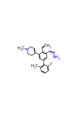 C=Cc1c(/C=N\N)cc(-c2c(C)cccc2F)cc1C1=CCN(C)CC1